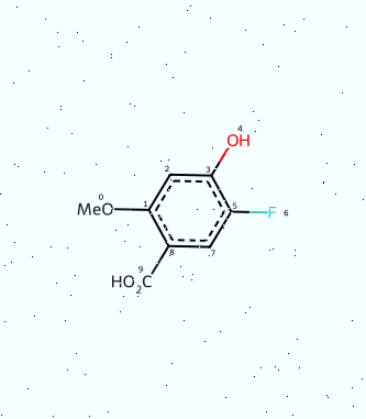 COc1cc(O)c(F)cc1C(=O)O